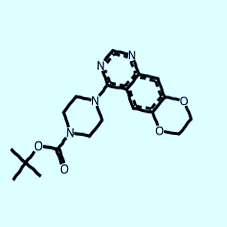 CC(C)(C)OC(=O)N1CCN(c2ncnc3cc4c(cc23)OCCO4)CC1